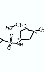 C[C@@H]1CC[C@H](NS(=O)(=O)C2CC2)C1.O=CO